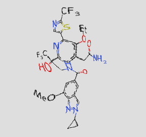 CCOc1c(CC(N)=O)cc([C@@](O)(CNC(=O)c2cc(OC)c3nn(C4CC4)cc3c2)C(F)(F)F)nc1-c1cnc(C(F)(F)F)s1